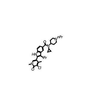 CCCN1CCC(N(C(=O)c2ccc3[nH]c(-c4cn(C)c(=O)c(Cl)c4C)c(C(C)C)c3c2)C2CC2)CC1